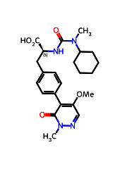 COc1cnn(C)c(=O)c1-c1ccc(C[C@H](NC(=O)N(C)C2CCCCC2)C(=O)O)cc1